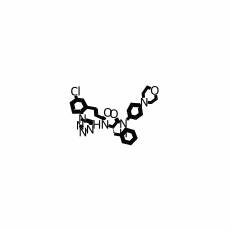 O=C(/C=C/c1cc(Cl)ccc1-n1cnnn1)N[C@@H](Cc1ccccc1)C(=O)Nc1ccc(N2CCOCC2)cc1